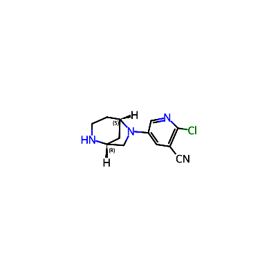 N#Cc1cc(N2C[C@H]3C[C@@H]2CCN3)cnc1Cl